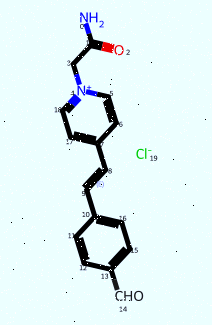 NC(=O)C[n+]1ccc(/C=C/c2ccc(C=O)cc2)cc1.[Cl-]